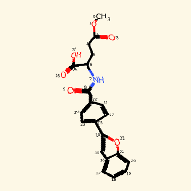 COC(=O)CCC(NC(=O)c1ccc(-c2cc3ccccc3o2)cc1)C(=O)O